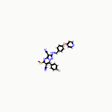 CSc1nc2c(C#N)c(NCc3ccc(Oc4ccncc4)cc3)nn2c(-c2ccc(Cl)cc2)c1C#N